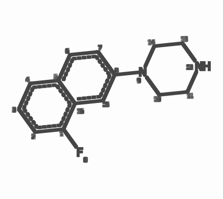 Fc1cccc2ccc(N3CCNCC3)cc12